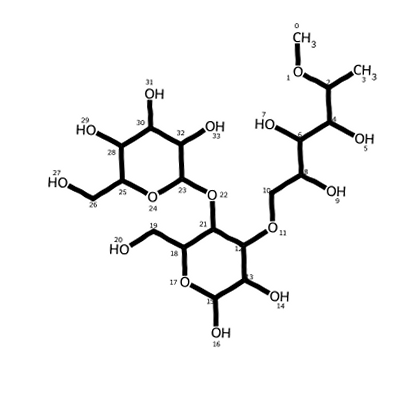 COC(C)C(O)C(O)C(O)COC1C(O)C(O)OC(CO)C1OC1OC(CO)C(O)C(O)C1O